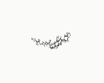 CNC(=O)CC1CC2(C1)CN(C(=O)c1cnn3ccc(Nc4cc(-c5cccc(C)c5)nn4C)cc13)C2